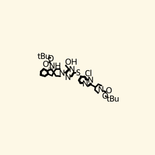 CC(C)(C)OC(=O)N[C@@H]1c2ccccc2CC12CCN(c1ncc(Sc3ccn4cc(C5CCN(C(=O)OC(C)(C)C)CC5)nc4c3Cl)nc1CO)CC2